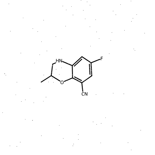 CC1CNc2cc(F)cc(C#N)c2O1